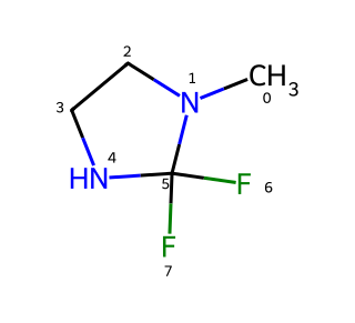 CN1CCNC1(F)F